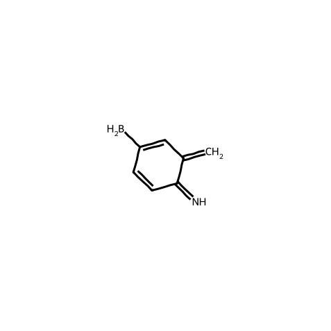 BC1=CC(=C)C(=N)C=C1